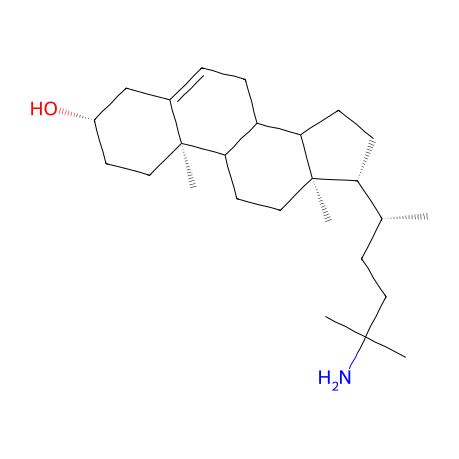 C[C@H](CCC(C)(C)N)[C@H]1CCC2C3CC=C4C[C@@H](O)CC[C@]4(C)C3CC[C@@]21C